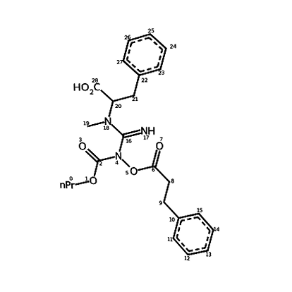 CCCOC(=O)N(OC(=O)CCc1ccccc1)C(=N)N(C)C(Cc1ccccc1)C(=O)O